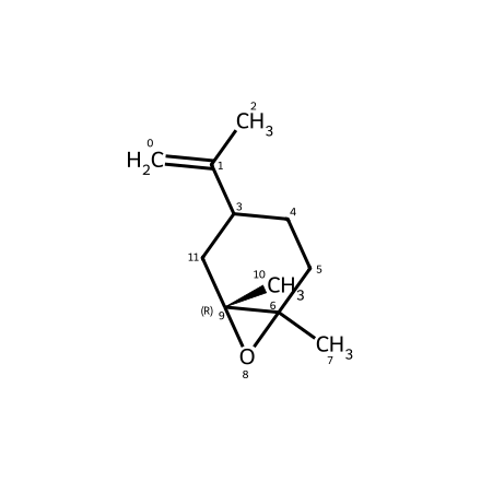 C=C(C)C1CCC2(C)O[C@]2(C)C1